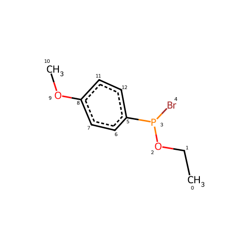 CCOP(Br)c1ccc(OC)cc1